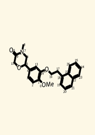 COc1ccc(C2CN(C)C(=O)CO2)cc1OCCc1cccc2ccccc12